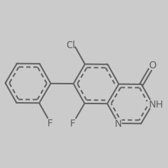 O=c1[nH]cnc2c(F)c(-c3ccccc3F)c(Cl)cc12